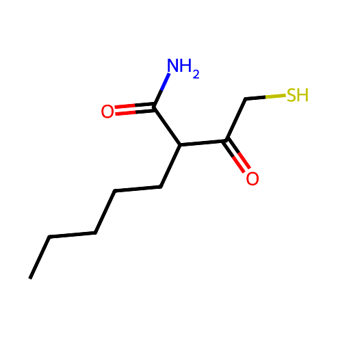 CCCCCC(C(N)=O)C(=O)CS